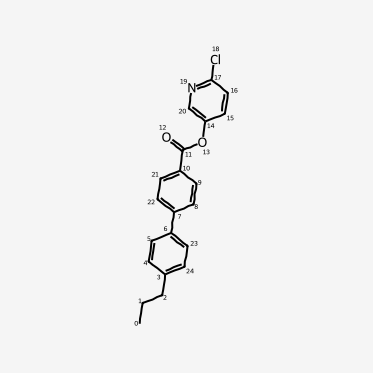 CCCc1ccc(-c2ccc(C(=O)Oc3ccc(Cl)nc3)cc2)cc1